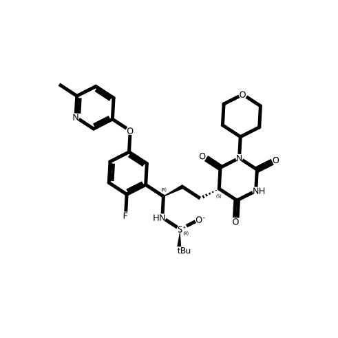 Cc1ccc(Oc2ccc(F)c([C@@H](CC[C@H]3C(=O)NC(=O)N(C4CCOCC4)C3=O)N[S@@+]([O-])C(C)(C)C)c2)cn1